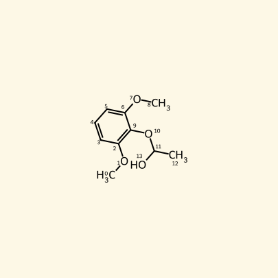 COc1cccc(OC)c1OC(C)O